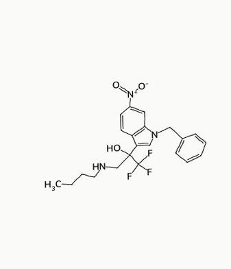 CCCCNCC(O)(c1cn(Cc2ccccc2)c2cc([N+](=O)[O-])ccc12)C(F)(F)F